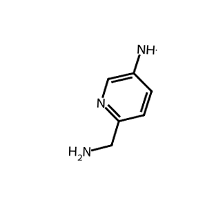 [NH]c1ccc(CN)nc1